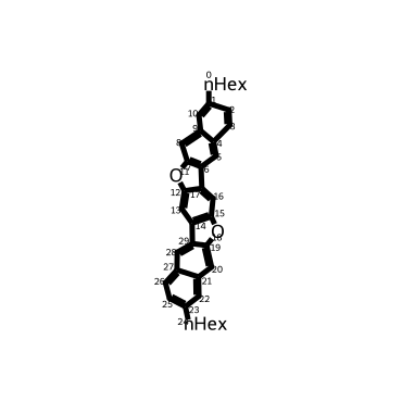 CCCCCCc1ccc2cc3c(cc2c1)oc1cc2c(cc13)oc1cc3cc(CCCCCC)ccc3cc12